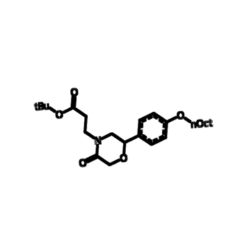 CCCCCCCCOc1ccc(C2CN(CCC(=O)OC(C)(C)C)C(=O)CO2)cc1